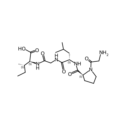 CC[C@H](C)[C@H](NC(=O)CNC(=O)[C@H](CC(C)C)NC(=O)[C@@H]1CCCN1C(=O)CN)C(=O)O